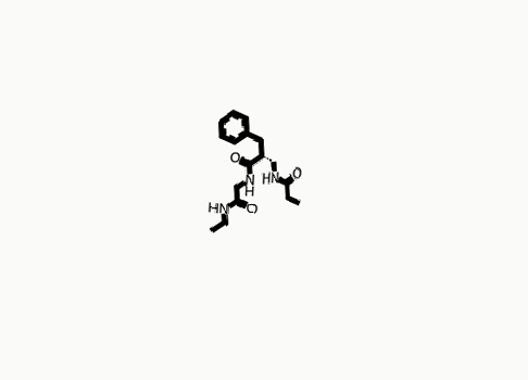 CCNC(=O)CNC(=O)[C@@H](CNC(=O)CC)Cc1ccccc1